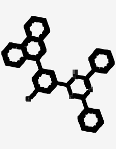 Clc1cc(-c2cc3ccccc3c3ccccc23)cc(C2N=C(c3ccccc3)N=C(c3ccccc3)N2)c1